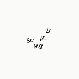 [Al].[Mg].[Sc].[Zr]